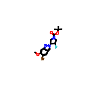 COc1cc2nn([C@H]3CN(C(=O)OC(C)(C)C)C[C@H]3F)cc2cc1Br